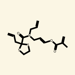 C=CCN(CC=COC(=O)C(=C)C)C(=O)C1(CC=C)SCCS1